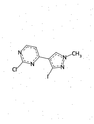 Cn1cc(-c2ccnc(Cl)n2)c(I)n1